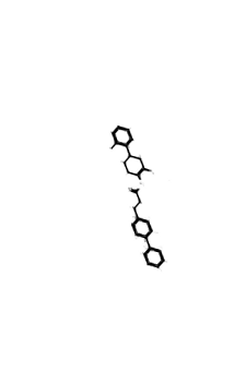 Cc1ccccc1C1CCC(NC(=O)CCc2ccc(-c3ccccc3)cc2)=C(C(=O)O)C1